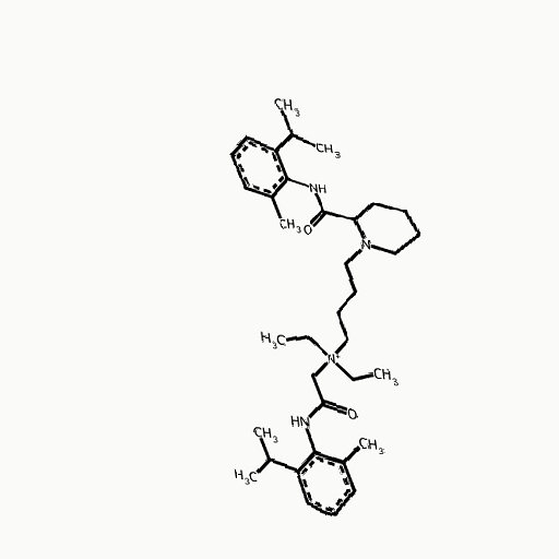 CC[N+](CC)(CCCCN1CCCCC1C(=O)Nc1c(C)cccc1C(C)C)CC(=O)Nc1c(C)cccc1C(C)C